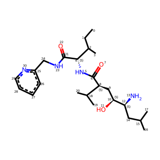 CCC(C)[C@H](NC(=O)[C@@H](C[C@H](O)[C@@H](N)CC(C)C)C(C)C)C(=O)NCc1ccccn1